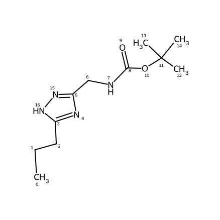 CCCc1nc(CNC(=O)OC(C)(C)C)n[nH]1